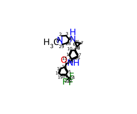 CN1CCC(N[C@@H]2C[C@H]2c2ccc(NC(=O)c3cccc(C(F)(F)F)c3)cc2)CC1